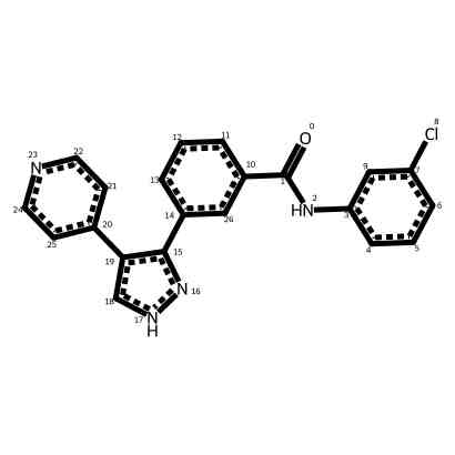 O=C(Nc1cccc(Cl)c1)c1cccc(-c2n[nH]cc2-c2ccncc2)c1